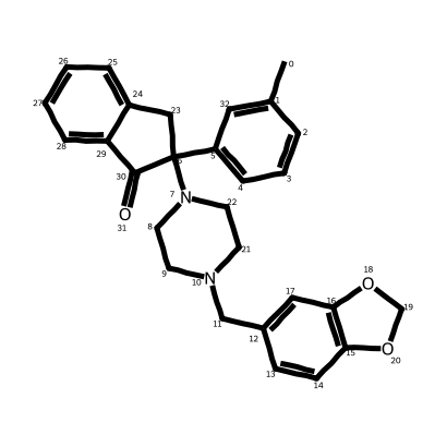 Cc1cccc(C2(N3CCN(Cc4ccc5c(c4)OCO5)CC3)Cc3ccccc3C2=O)c1